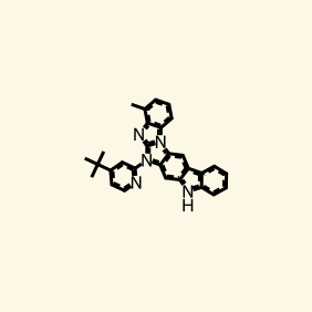 Cc1cccc2c1nc1n(-c3cc(C(C)(C)C)ccn3)c3cc4[nH]c5ccccc5c4cc3n21